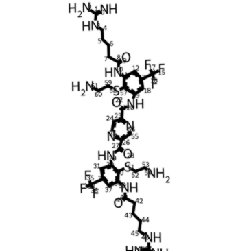 N=C(N)NCCCCC(=O)Nc1cc(C(F)(F)F)cc(NC(=O)c2cnc(C(=O)Nc3cc(C(F)(F)F)cc(NC(=O)CCCCNC(=N)N)c3SCCN)cn2)c1SCCN